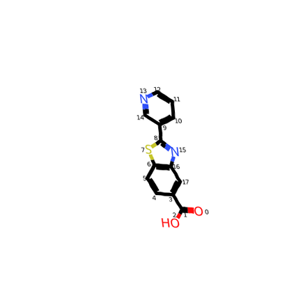 O=C(O)c1ccc2sc(-c3cccnc3)nc2c1